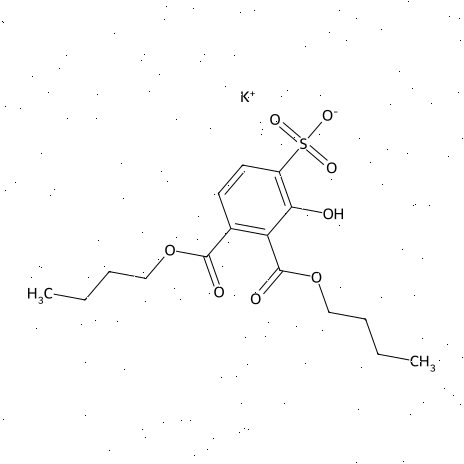 CCCCOC(=O)c1ccc(S(=O)(=O)[O-])c(O)c1C(=O)OCCCC.[K+]